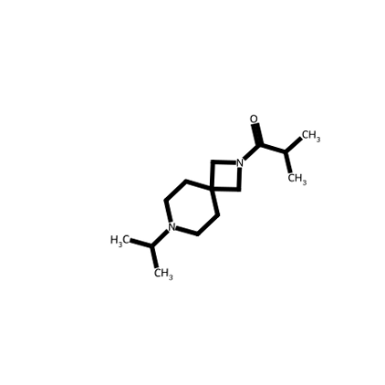 CC(C)C(=O)N1CC2(CCN(C(C)C)CC2)C1